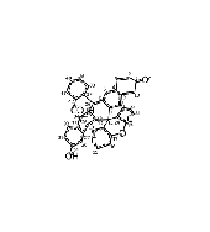 O=C1C=Cc2cc3c(cc2=C1)C1(c2ccccc2Oc2ccccc21)c1cc2cc(O)ccc2cc1C=3c1ccccc1C(=O)O